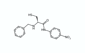 O=C(Nc1ccc([N+](=O)[O-])cc1)[C@H](CS)NCc1ccccc1